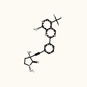 CN1CC[C@](O)(C#Cc2cccc(-c3ncc4c(C(F)(F)F)cnc(N)c4n3)c2)C1=O